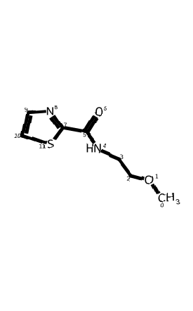 COCCNC(=O)c1nccs1